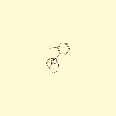 CN1C2C=CC(c3ccccc3Cl)C1CC2